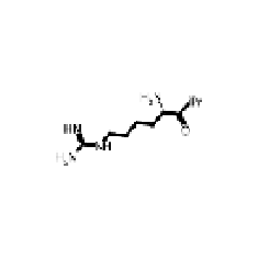 CC(C)C(=O)[C@@H](N)CCCCNC(=N)N